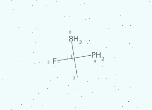 BC(C)(F)P